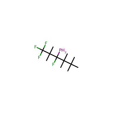 CC(C)(C)C(C)(C)C(F)(P)C(C)(C)C(F)(F)F